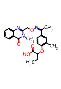 CCC(Oc1ccc(C(C)=NOCc2nc3ccccc3c(=O)n2C)cc1C)C(=O)O